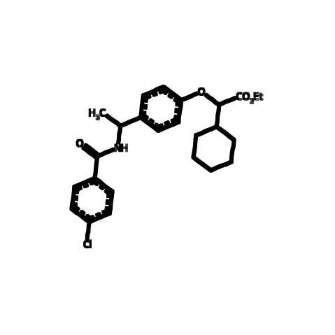 CCOC(=O)C(Oc1ccc(C(C)NC(=O)c2ccc(Cl)cc2)cc1)C1CCCCC1